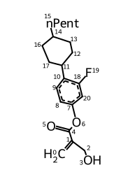 C=C(CO)C(=O)Oc1ccc(C2CCC(CCCCC)CC2)c(F)c1